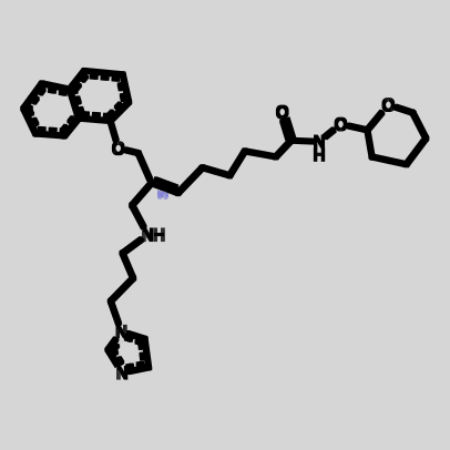 O=C(CCCC/C=C(/CNCCCn1ccnc1)COc1cccc2ccccc12)NOC1CCCCO1